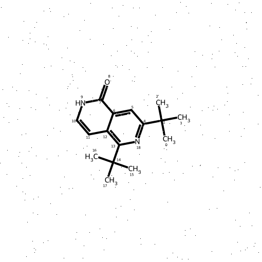 CC(C)(C)c1cc2c(=O)[nH]ccc2c(C(C)(C)C)n1